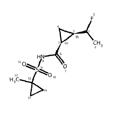 CC(F)[C@@H]1C[C@@H]1C(=O)NS(=O)(=O)C1(C)CC1